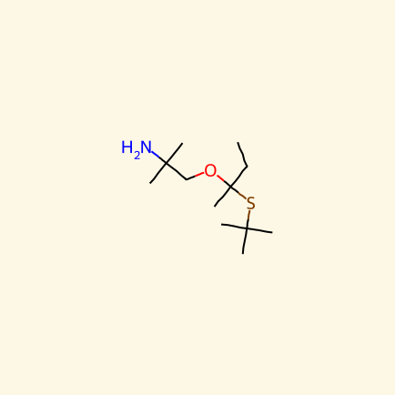 CCC(C)(OCC(C)(C)N)SC(C)(C)C